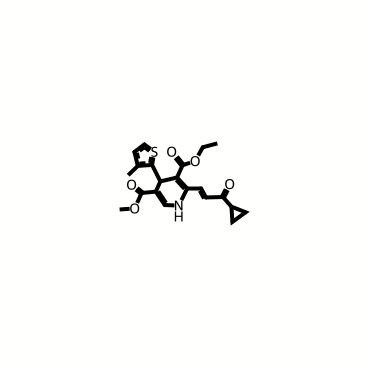 CCOC(=O)C1=C(C=CC(=O)C2CC2)NC=C(C(=O)OC)C1c1sccc1C